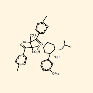 COc1cccc([C@@]2(O)CCCC[C@@H]2CN(C)C)c1.Cc1ccc(C(=O)C(O)(C(=O)O)C(O)(C(=O)O)C(=O)c2ccc(C)cc2)cc1